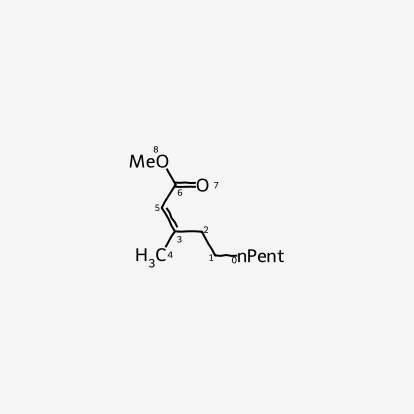 CCCCCCC/C(C)=C\C(=O)OC